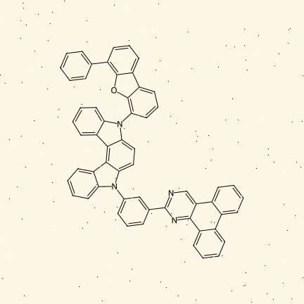 c1ccc(-c2cccc3c2oc2c(-n4c5ccccc5c5c6c7ccccc7n(-c7cccc(-c8ncc9c%10ccccc%10c%10ccccc%10c9n8)c7)c6ccc54)cccc23)cc1